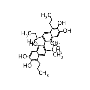 CCCc1c(O)c(O)cc2c(O)c(-c3c(C(C)CC)cc4c(CCC)c(O)c(O)cc4c3O)c(C(C)CC)cc12